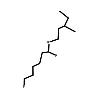 CCC(C)CCPC(F)CCCCCF